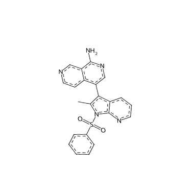 Cc1c(-c2cnc(N)c3cnccc23)c2cccnc2n1S(=O)(=O)c1ccccc1